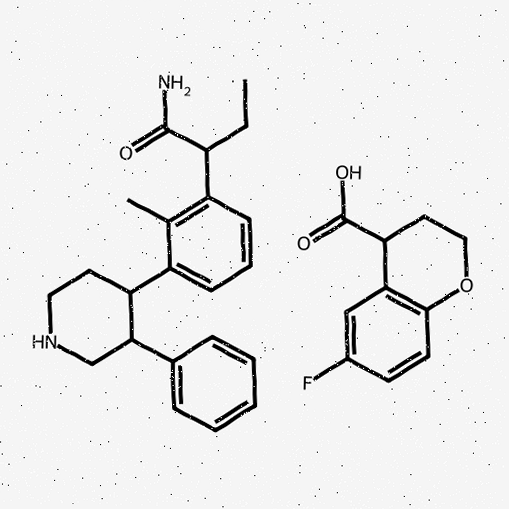 CCC(C(N)=O)c1cccc(C2CCNCC2c2ccccc2)c1C.O=C(O)C1CCOc2ccc(F)cc21